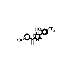 Cc1nc(NC2CCCN(C(C)(C)C)C2)nnc1-c1ccc(C(F)(F)F)cc1O